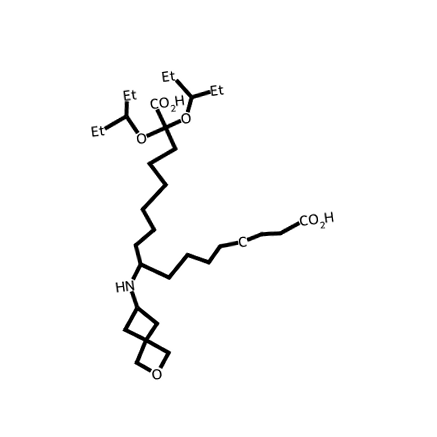 CCC(CC)OC(CCCCCCC(CCCCCCCC(=O)O)NC1CC2(COC2)C1)(OC(CC)CC)C(=O)O